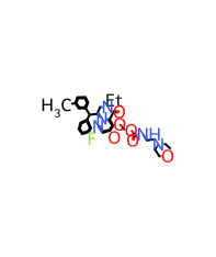 CCN1CC(C(c2cccc(C)c2)c2cccc(F)c2)n2ncc(=O)c(OCOC(=O)NCCN3CCOCC3)c2C1=O